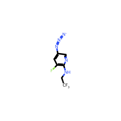 [N-]=[N+]=Nc1cnc(NCC(F)(F)F)c(F)c1